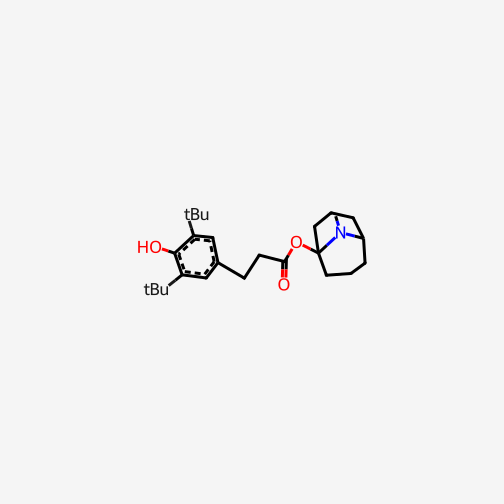 CN1C2CCCC1(OC(=O)CCc1cc(C(C)(C)C)c(O)c(C(C)(C)C)c1)CCC2